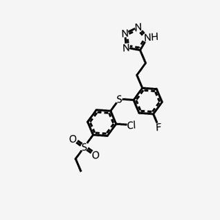 CCS(=O)(=O)c1ccc(Sc2cc(F)ccc2CCc2nnn[nH]2)c(Cl)c1